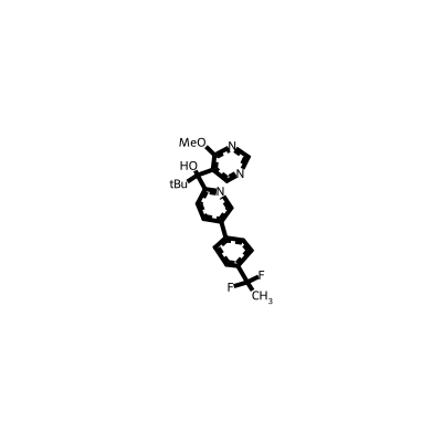 COc1ncncc1C(O)(c1ccc(-c2ccc(C(C)(F)F)cc2)cn1)C(C)(C)C